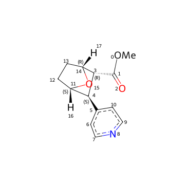 COC(=O)[C@@H]1[C@@H](c2ccncc2)[C@@H]2CC[C@H]1O2